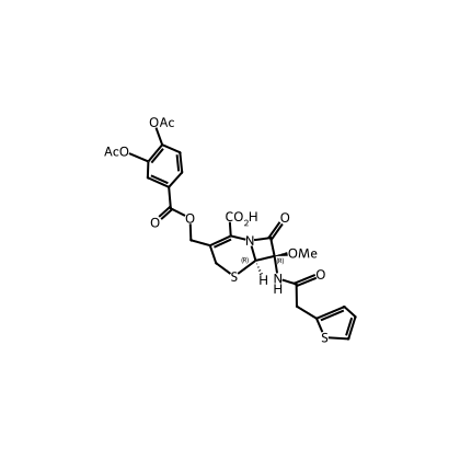 CO[C@]1(NC(=O)Cc2cccs2)C(=O)N2C(C(=O)O)=C(COC(=O)c3ccc(OC(C)=O)c(OC(C)=O)c3)CS[C@@H]21